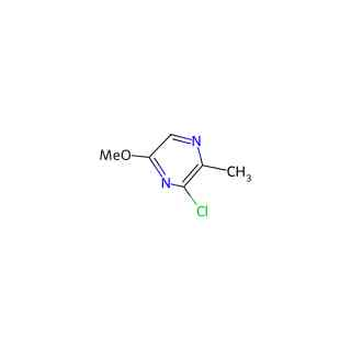 COc1cnc(C)c(Cl)n1